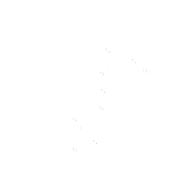 CCn1c(=C(C#N)C(=O)NCC(F)(F)F)sc(=CNc2cccc(NC(=O)CN(C)C3CCN(C)C3)n2)c1=O